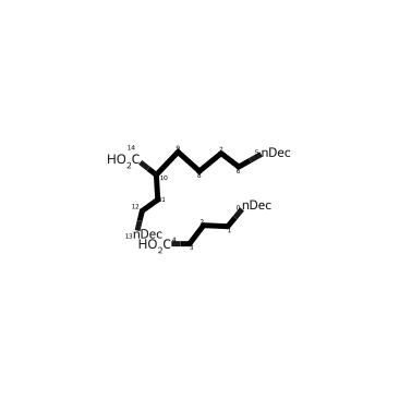 CCCCCCCCCCCCCC(=O)O.CCCCCCCCCCCCCCC(CCCCCCCCCCCC)C(=O)O